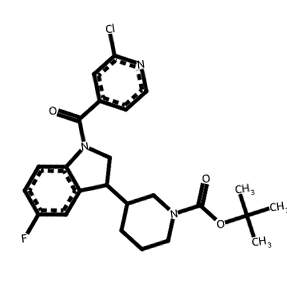 CC(C)(C)OC(=O)N1CCCC(C2CN(C(=O)c3ccnc(Cl)c3)c3ccc(F)cc32)C1